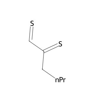 CCCCC(=S)C=S